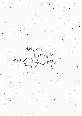 COc1ccc(C2(C)CC(C)(C)N(C(C)=O)c3ccc(N)cc32)cc1